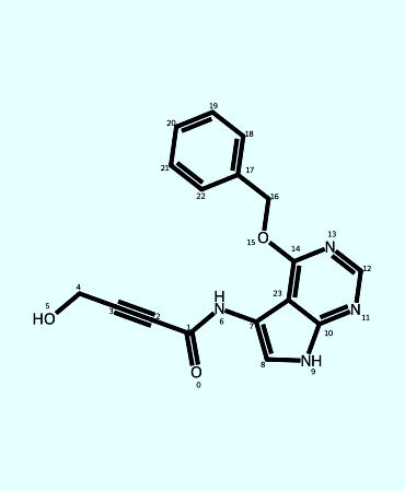 O=C(C#CCO)Nc1c[nH]c2ncnc(OCc3ccccc3)c12